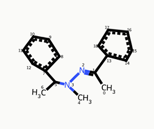 C/C(=N\N(C)C(C)c1ccccc1)c1ccccc1